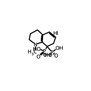 CN1CCCC2=C1C(P(=O)(O)O)(P(=O)(O)O)CC=C2.I